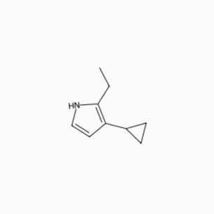 CCc1[nH]ccc1C1CC1